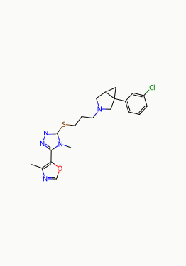 Cc1ncoc1-c1nnc(SCCCN2CC3CC3(c3cccc(Cl)c3)C2)n1C